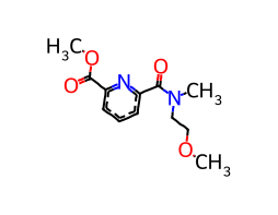 COCCN(C)C(=O)c1cccc(C(=O)OC)n1